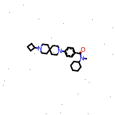 CN(C(=O)c1ccc(N2CCC3(CC2)CCN(C2CCC2)CC3)cc1)C1CCCCC1